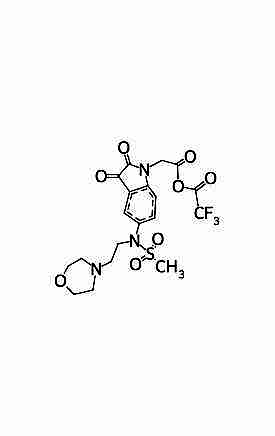 CS(=O)(=O)N(CCN1CCOCC1)c1ccc2c(c1)C(=O)C(=O)N2CC(=O)OC(=O)C(F)(F)F